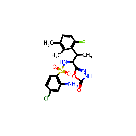 Cc1ccc(F)c(C(C)C(NS(=O)(=O)c2ccc(Cl)cc2N)c2n[nH]c(=O)o2)c1C